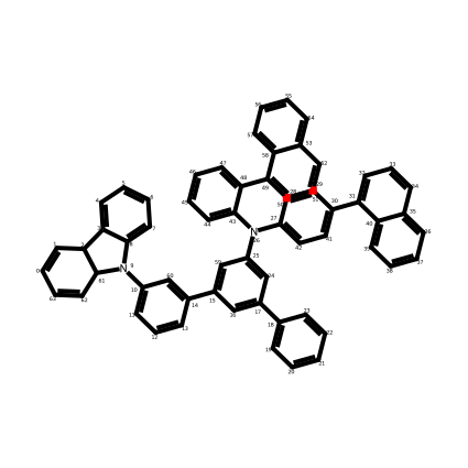 C1=CC2c3ccccc3N(c3cccc(-c4cc(-c5ccccc5)cc(N(c5ccc(-c6cccc7ccccc67)cc5)c5ccccc5-c5cccc6ccccc56)c4)c3)C2C=C1